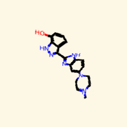 CN1CCN(c2ccc3[nH]c(-c4n[nH]c5c(O)cccc45)nc3c2)CC1